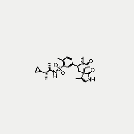 CCC1(CC(NC=O)c2ccc(C)c(S(=O)(=O)NC(=S)NC3CC3)c2)C(=O)NC=C1C